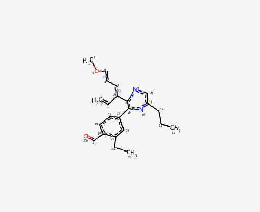 C=C/C(=C\C=C\OC)c1ncc(CCC)nc1-c1ccc(C=O)c(CC)c1